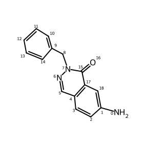 Nc1ccc2cnn(Cc3ccccc3)c(=O)c2c1